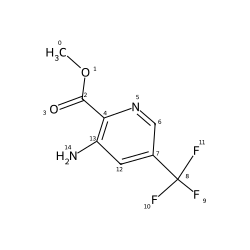 COC(=O)c1ncc(C(F)(F)F)cc1N